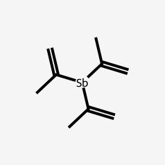 C=[C](C)[Sb]([C](=C)C)[C](=C)C